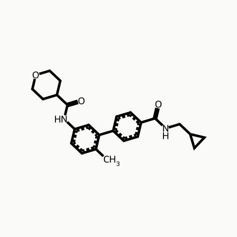 Cc1ccc(NC(=O)C2CCOCC2)cc1-c1ccc(C(=O)NCC2CC2)cc1